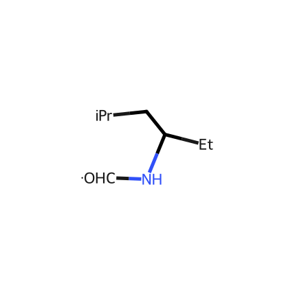 CCC(CC(C)C)N[C]=O